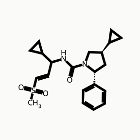 CS(=O)(=O)/C=C/C(NC(=O)N1C[C@@H](C2CC2)C[C@@H]1c1ccccc1)C1CC1